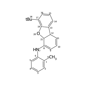 Cc1ccccc1NC1=CC=CC2c3cccc(C(C)(C)C)c3OC12